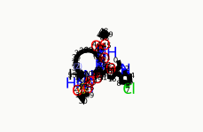 Cc1nc2ccc(Cl)cc2c2c1O[C@]1(CC2)C[C@H]2C(=O)N[C@]3(C(=O)NS(=O)(=O)C4(C)CC4)C[C@H]3/C=C\CCCCC[C@H](NC(=O)OC3CCC3)C(=O)N2C1